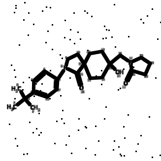 CC(C)(C)c1ccc(N2CCC3(CCC(O)(CN4CCCC4=O)CC3)C2=O)cc1